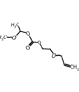 C=CCOCCOC(=O)OC(C)OC